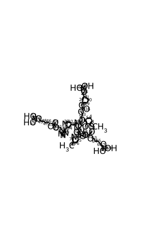 COc1ccccc1Oc1c(OCCOC(=O)Oc2cccc(CON(O)O)c2)nc(-c2ccnc(-c3nnnn3COC(=O)OCCCCON(O)O)c2)nc1N(COC(=O)OCCCCON(O)O)S(=O)(=O)c1ccc(C)cn1